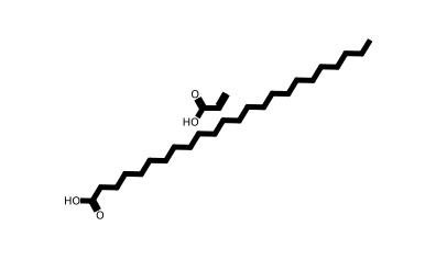 C=CC(=O)O.CCCCCCCCCCCCCCCCCCCCCCCC(=O)O